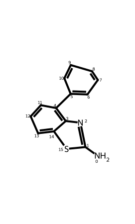 Nc1nc2c(-c3ccccc3)cccc2s1